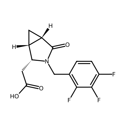 O=C(O)C[C@@H]1[C@@H]2C[C@@H]2C(=O)N1Cc1ccc(F)c(F)c1F